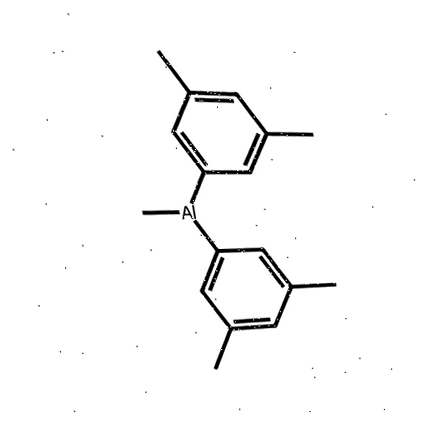 Cc1cc(C)c[c]([Al]([CH3])[c]2cc(C)cc(C)c2)c1